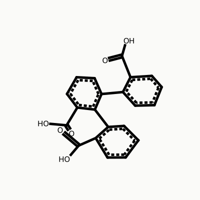 O=C(O)c1ccccc1-c1cccc(C(=O)O)c1-c1ccccc1C(=O)O